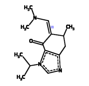 CC1Cc2ncn(C(C)C)c2C(=O)/C1=C\N(C)C